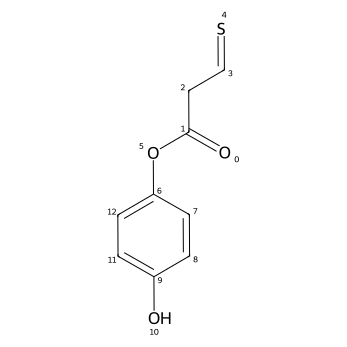 O=C(CC=S)Oc1ccc(O)cc1